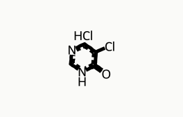 Cl.O=c1[nH]cncc1Cl